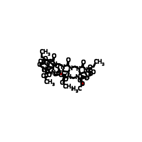 CCOC(=O)[C@]12N3COCN1C(=O)N1CN4C(=O)N5CN6C(=O)N7COCN8C(=O)N(CN9C(=O)N(CN(C3=O)[C@]12C(=O)OCC)[C@@]4(C(=O)OCC)[C@@]95C(=O)OCC)[C@]6(C(=O)OCC)[C@@]78C(=O)OCC